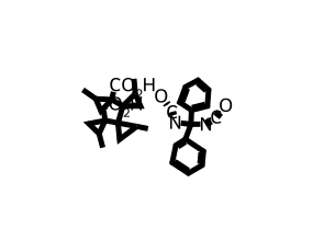 CC1CC1(C(=O)O)C1(C2(C3(C(=O)O)CC3C)CC2C)CC1C.O=C=NC(N=C=O)(c1ccccc1)c1ccccc1